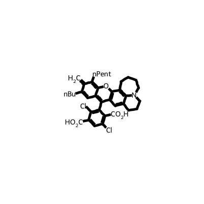 C=c1c(CCCC)cc2c(c1CCCCC)Oc1c(cc3c4c1CCCCN4CCC3)C=2c1c(Cl)c(C(=O)O)cc(Cl)c1C(=O)O